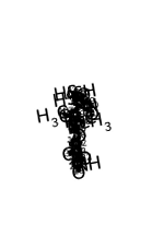 COc1cc2c(-c3cc(OC)c(CN4CC(Oc5ccc6c(c5)CN(C5CCC(=O)NC5=O)C6=O)C4)c(OC)c3)cn(C(S)(S)S)c(=O)c2cn1